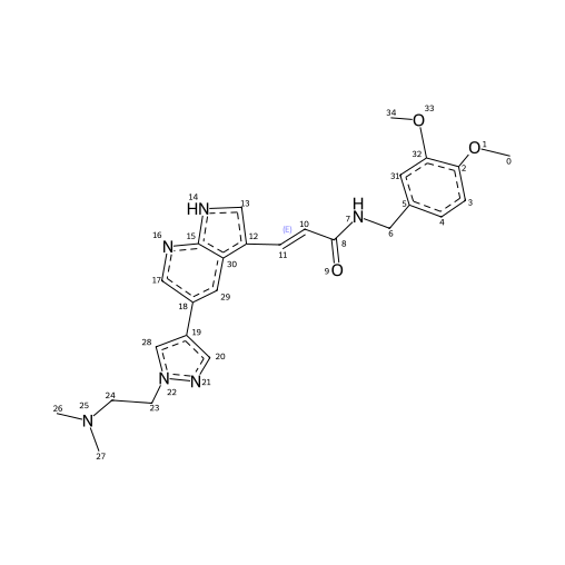 COc1ccc(CNC(=O)/C=C/c2c[nH]c3ncc(-c4cnn(CCN(C)C)c4)cc23)cc1OC